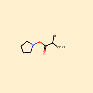 CCOC(=O)C(CC)C(=O)ON1CCCC1